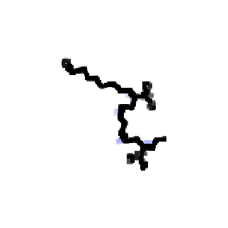 CC/C=C(\C/C=C\C/C=C\C/C(=C\CCCCCC[C]=O)[N+](=O)[O-])[N+](=O)[O-]